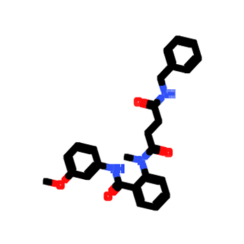 COc1cccc(NC(=O)c2ccccc2N(C)C(=O)CCC(=O)NCc2ccccc2)c1